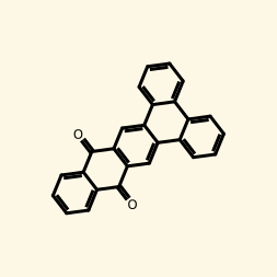 O=C1c2ccccc2C(=O)c2cc3c4ccccc4c4ccccc4c3cc21